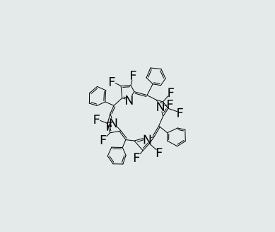 FC1=C(F)c2nc1c(-c1ccccc1)c1c(F)c(F)c(c(-c3ccccc3)c3nc(c(-c4ccccc4)c4c(F)c(F)c(c2-c2ccccc2)n4F)C(F)=C3F)n1F